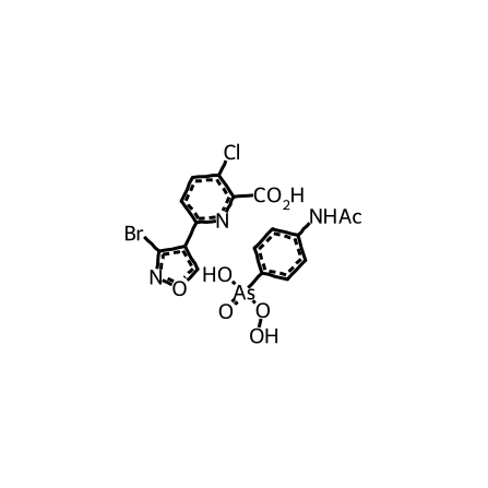 CC(=O)Nc1ccc([As](=O)(O)OO)cc1.O=C(O)c1nc(-c2conc2Br)ccc1Cl